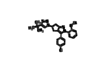 CCOc1ccccc1-n1nc2c(c1-c1ccc(Cl)cc1)CC(n1cc([Si](C)(C)C)nn1)C2